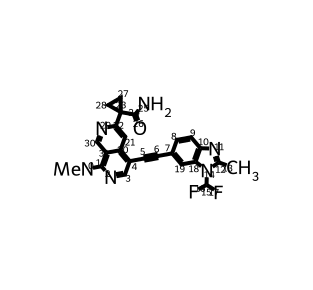 CNc1ncc(C#Cc2ccc3nc(C)n(C(F)F)c3c2)c2cc(C3(C(N)=O)CC3)ncc12